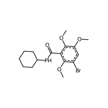 COc1cc(Br)c(OC)c(C(=O)PC2CCCCC2)c1OC